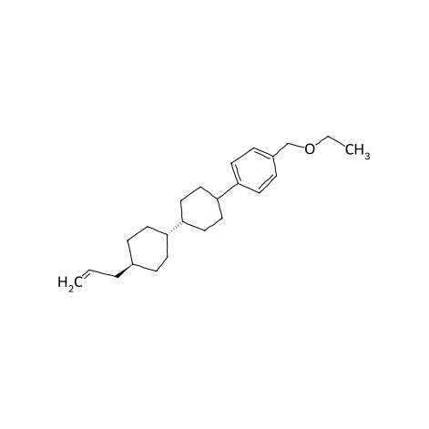 C=CC[C@H]1CC[C@H](C2CCC(c3ccc(COCC)cc3)CC2)CC1